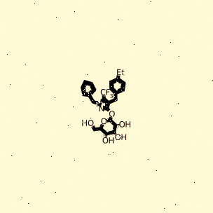 CCc1ccc(Cc2c(OC3OC(CO)[C@@H](O)[C@H](O)[C@H]3O)nn(Cc3ccccc3)c2C(F)(F)F)cc1